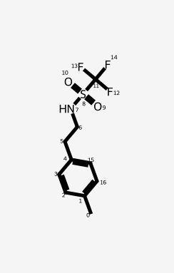 Cc1ccc(CCNS(=O)(=O)C(F)(F)F)cc1